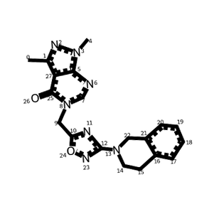 Cc1nn(C)c2ncn(Cc3nc(N4CCc5ccccc5C4)no3)c(=O)c12